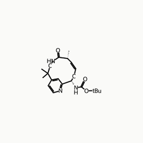 C[C@@H]1C=CC[C@H](NC(=O)OC(C)(C)C)c2cc(ccn2)C(C)(C)CNC1=O